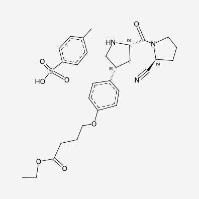 CCOC(=O)CCCOc1ccc([C@@H]2CN[C@H](C(=O)N3CCC[C@H]3C#N)C2)cc1.Cc1ccc(S(=O)(=O)O)cc1